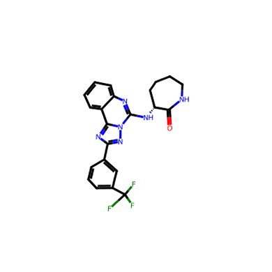 O=C1NCCCC[C@H]1Nc1nc2ccccc2c2nc(-c3cccc(C(F)(F)F)c3)nn12